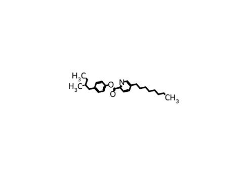 CCCCCCCCc1ccc(C(=O)Oc2ccc(C[C@@H](C)CC)cc2)nc1